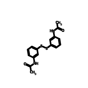 CC(=O)Nc1cccc(SSc2cccc(NC(C)=O)c2)c1